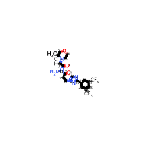 CC1(C)COCCN1CC(=O)N(N)C(=O)/C=C\n1cnc(-c2cc(C(F)(F)F)cc(C(F)(F)F)c2)n1